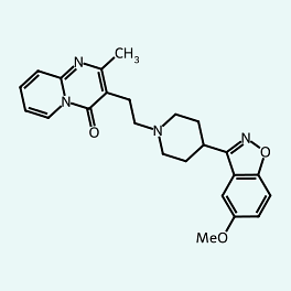 COc1ccc2onc(C3CCN(CCc4c(C)nc5ccccn5c4=O)CC3)c2c1